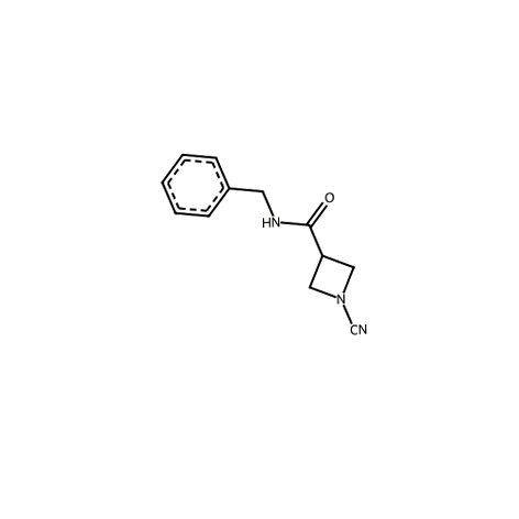 N#CN1CC(C(=O)NCc2ccccc2)C1